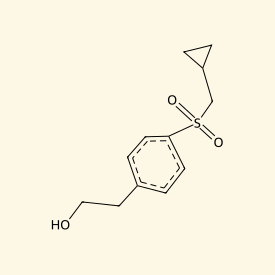 O=S(=O)(CC1CC1)c1ccc(CCO)cc1